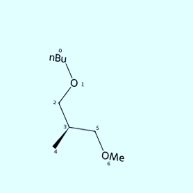 CCCCOC[C@H](C)COC